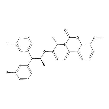 COc1ccnc2c(=O)n([C@@H](C)C(=O)O[C@@H](C)C(c3cccc(F)c3)c3cccc(F)c3)c(=O)oc12